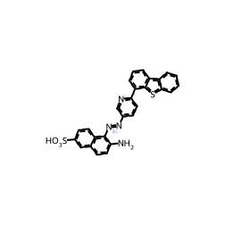 Nc1ccc2cc(S(=O)(=O)O)ccc2c1/N=N/c1ccc(-c2cccc3c2sc2ccccc23)nc1